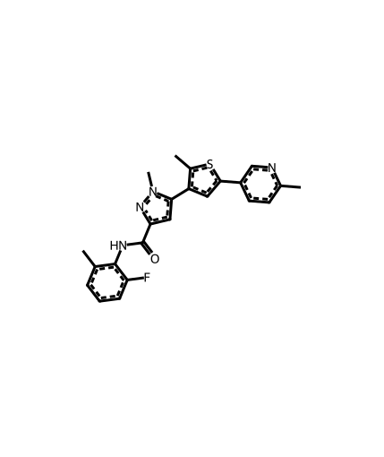 Cc1ccc(-c2cc(-c3cc(C(=O)Nc4c(C)cccc4F)nn3C)c(C)s2)cn1